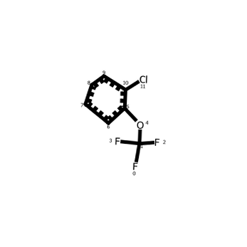 FC(F)(F)Oc1c[c]ccc1Cl